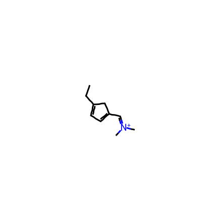 CCC1=CC=C(C=[N+](C)C)C1